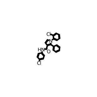 O=C(Nc1ccc(Cl)cc1)c1ccn(-c2ccccc2Cl)c1-c1ccccc1